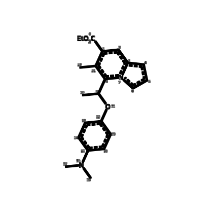 CCOC(=O)c1cc2cccn2c(C(C)Oc2ccc(N(C)C)cc2)c1C